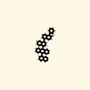 c1ccc2c(-c3c4ccccc4c(-c4ccc(-c5cccc6c5ccc5oc7ccccc7c56)c5ccccc45)c4ccccc34)cccc2c1